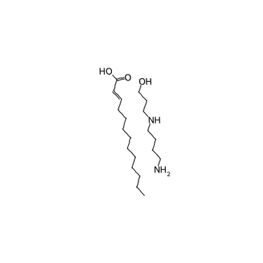 CCCCCCCCCCC=CC(=O)O.NCCCCNCCCO